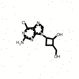 Nc1nc(Cl)c2ncn(C3CC(CO)C3O)c2n1